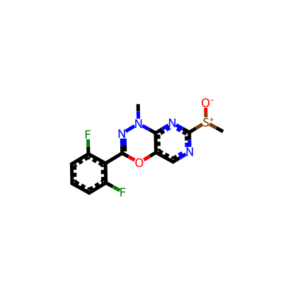 CN1N=C(c2c(F)cccc2F)Oc2cnc([S+](C)[O-])nc21